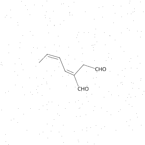 C/C=C\C=C(\C=O)CC=O